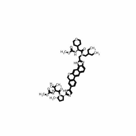 CCC(CC)CN(Cc1nc2ccc3cc4c(cc3c2[nH]1)OCc1cc(-c2cnc([C@@H]3CC[C@H](C)N3C(=O)[C@@H](NC(=O)OC)C(C)C)[nH]2)ccc1-4)C(=O)[C@@H](NC(=O)OC)C1CCOCC1